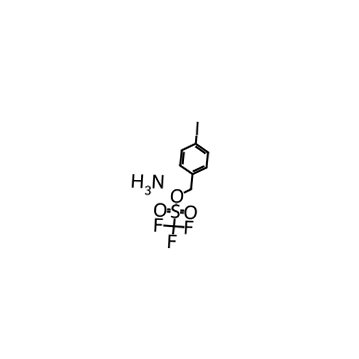 N.O=S(=O)(OCc1ccc(I)cc1)C(F)(F)F